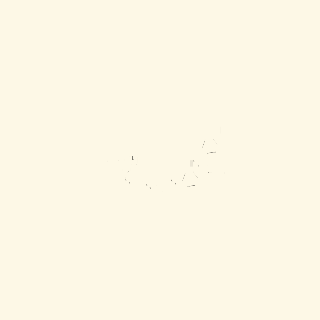 CC(Nc1cc(N2CCC(N3CCC(NC(=O)OC(C)(C)C)C3)CC2)ccc1Cl)c1ccc(Cl)cc1Cl